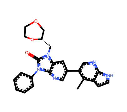 Cc1c(-c2cnc3c(c2)n(C[C@H]2COCCO2)c(=O)n3-c2ccccc2)cnc2[nH]ccc12